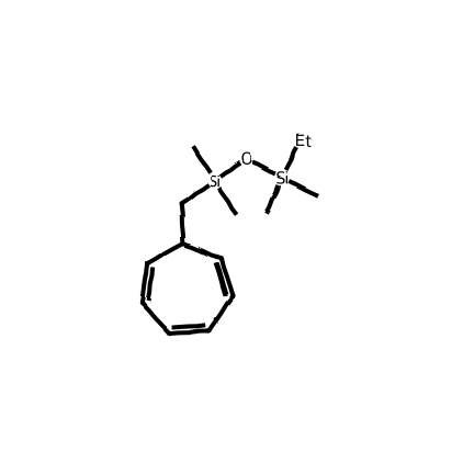 CC[Si](C)(C)O[Si](C)(C)CC1C=CC=CC=C1